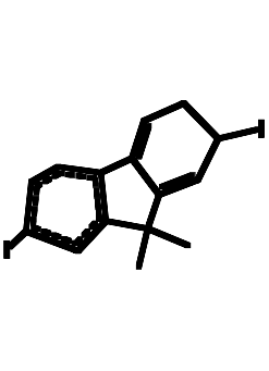 CC1(C)C2=CC(I)CC=C2c2ccc(I)cc21